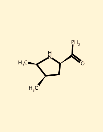 C[C@@H]1C[C@H](C(=O)P)N[C@@H]1C